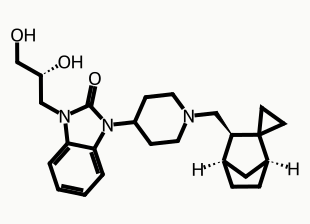 O=c1n(C[C@@H](O)CO)c2ccccc2n1C1CCN(C[C@@H]2[C@@H]3CC[C@@H](C3)C23CC3)CC1